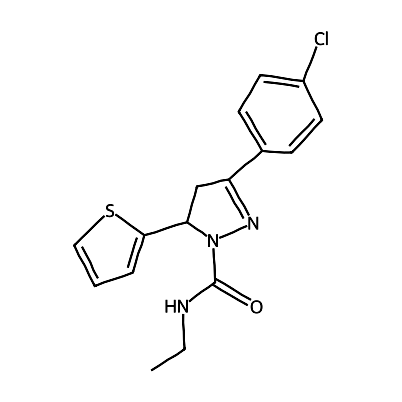 CCNC(=O)N1N=C(c2ccc(Cl)cc2)CC1c1cccs1